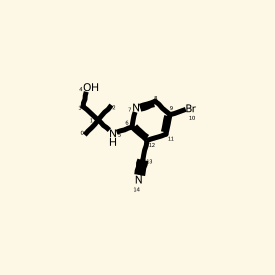 CC(C)(CO)Nc1ncc(Br)cc1C#N